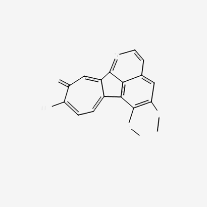 COc1cc2ccnc3c2c(c1OC)-c1ccc(O)c(=O)cc1-3